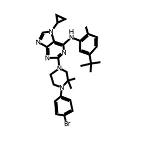 Cc1ccc(C(C)(C)C)cc1Nc1nc(N2CCN(c3ccc(Br)cc3)C(C)(C)C2)nc2ncn(C3CC3)c12